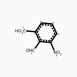 O=[C]c1c(C(=O)O)cccc1[N+](=O)[O-]